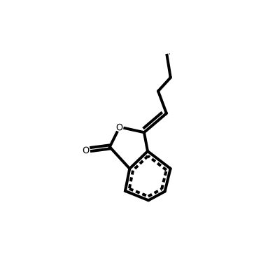 [CH2]CCC=C1OC(=O)c2ccccc21